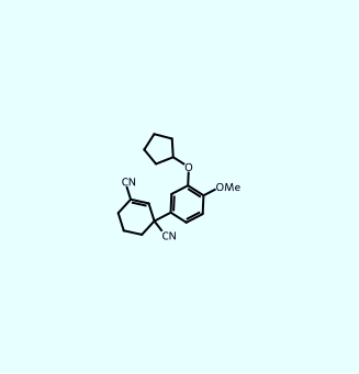 COc1ccc(C2(C#N)C=C(C#N)CCC2)cc1OC1CCCC1